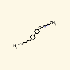 C/C=C/C=C/CO[C@H]1CC[C@H](C2CCC(CCCCCCC)CC2)CC1